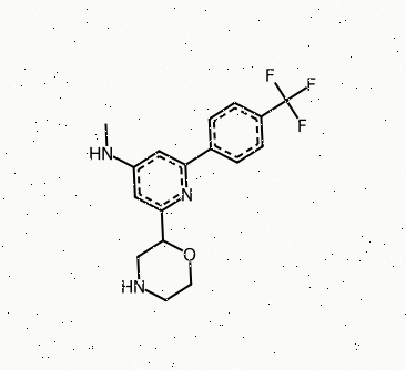 CNc1cc(-c2ccc(C(F)(F)F)cc2)nc(C2CNCCO2)c1